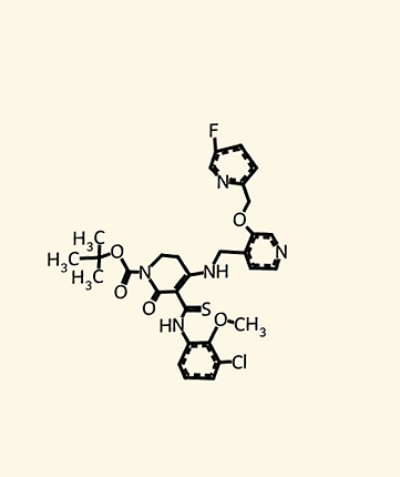 COc1c(Cl)cccc1NC(=S)C1=C(NCc2ccncc2OCc2ccc(F)cn2)CCN(C(=O)OC(C)(C)C)C1=O